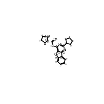 O=C(Oc1nc(C2CCCC2)nc2c1oc1ccccc12)[C@@H]1CCCN1